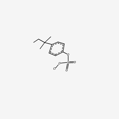 CCC(C)(C)c1ccc(OS(=O)(=O)OCl)cc1